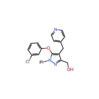 CC(C)n1nc(CO)c(Cc2ccncc2)c1Oc1cccc(Cl)c1